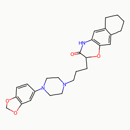 O=C1Nc2cc3c(cc2OC1CCCN1CCN(c2ccc4c(c2)OCO4)CC1)CCCC3